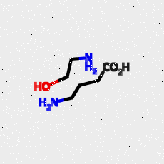 NCCCC(=O)O.NCCO